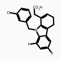 O=C(O)CC1=CCCc2c1n(Cc1cccc(Cl)c1)c1c(F)cc(F)cc21